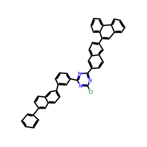 Clc1nc(-c2cccc(-c3ccc4cc(-c5ccccc5)ccc4c3)c2)nc(-c2ccc3cc(-c4cc5ccccc5c5ccccc45)ccc3c2)n1